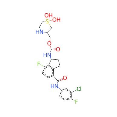 O=C(N[C@H]1CCc2c(C(=O)Nc3ccc(F)c(Cl)c3)ccc(F)c21)OCC1CS(O)(O)CCN1